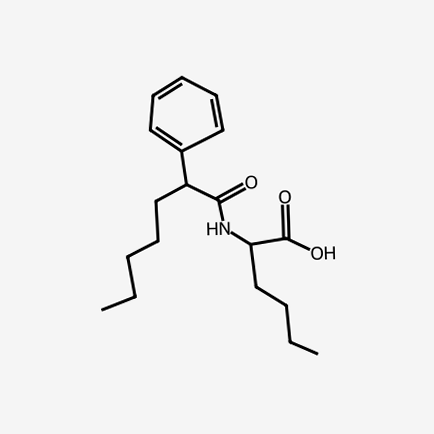 CCCCCC(C(=O)NC(CCCC)C(=O)O)c1ccccc1